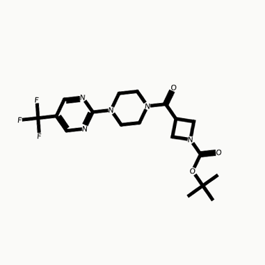 CC(C)(C)OC(=O)N1CC(C(=O)N2CCN(c3ncc(C(F)(F)F)cn3)CC2)C1